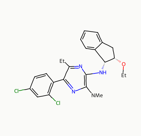 CCO[C@H]1Cc2ccccc2[C@H]1Nc1nc(CC)c(-c2ccc(Cl)cc2Cl)nc1NC